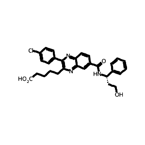 O=C(O)CCCCc1nc2cc(C(=O)N[C@@H](CCO)c3ccccc3)ccc2nc1-c1ccc(Cl)cc1